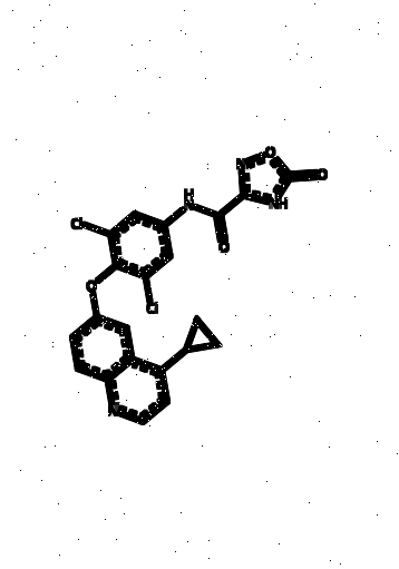 O=C(Nc1cc(Cl)c(Oc2ccc3nccc(C4CC4)c3c2)c(Cl)c1)c1noc(=O)[nH]1